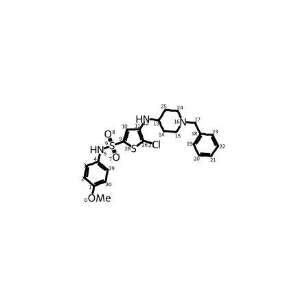 COc1ccc(NS(=O)(=O)c2cc(NC3CCN(Cc4ccccc4)CC3)c(Cl)s2)cc1